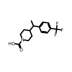 CC(c1ccc(C(F)(F)F)cc1)C1CCN(C(=O)O)CC1